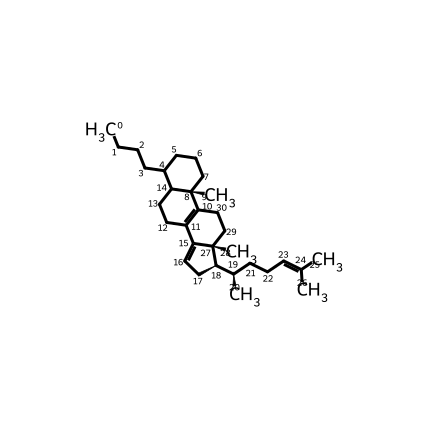 CCCCC1CCC[C@]2(C)C3=C(CCC12)C1=CC[C@H]([C@H](C)CCC=C(C)C)[C@@]1(C)CC3